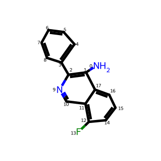 Nc1c(-c2ccccc2)ncc2c(F)cccc12